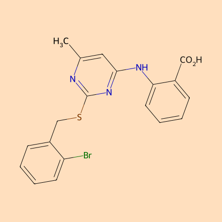 Cc1cc(Nc2ccccc2C(=O)O)nc(SCc2ccccc2Br)n1